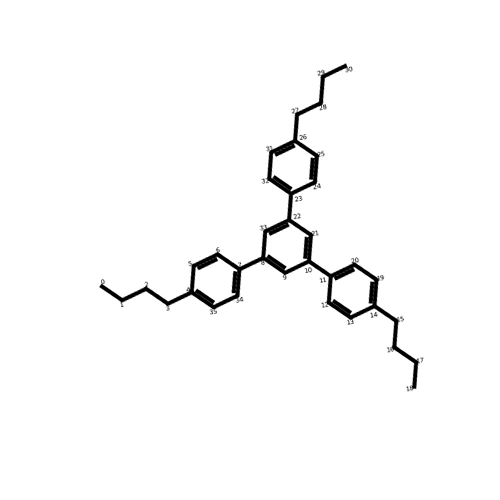 CCCCc1ccc(-c2cc(-c3ccc(CCCC)cc3)cc(-c3ccc(CCCC)cc3)c2)cc1